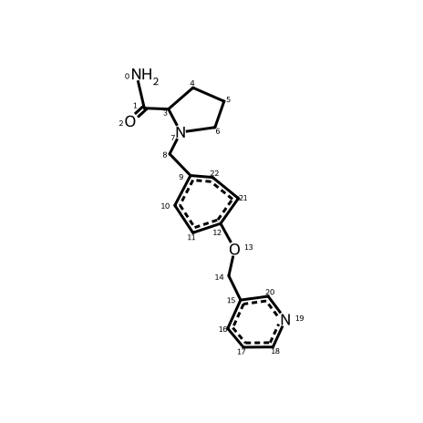 NC(=O)C1CCCN1Cc1ccc(OCc2cccnc2)cc1